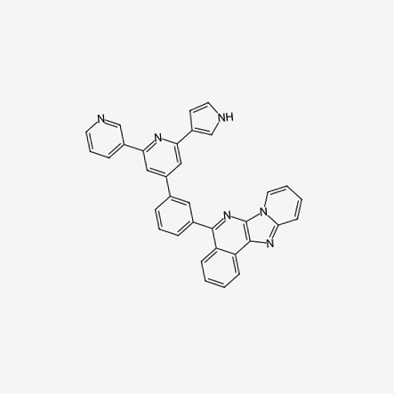 c1cncc(-c2cc(-c3cccc(-c4nc5c(nc6ccccn65)c5ccccc45)c3)cc(-c3cc[nH]c3)n2)c1